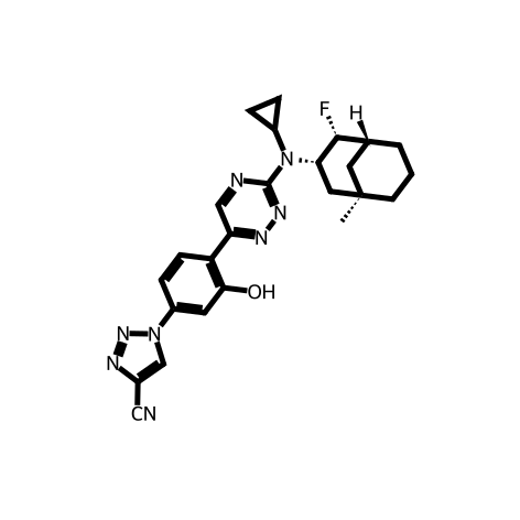 C[C@@]12CCC[C@H](C1)[C@@H](F)[C@@H](N(c1ncc(-c3ccc(-n4cc(C#N)nn4)cc3O)nn1)C1CC1)C2